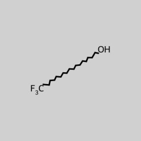 OCCCCCCCCCCCCCCCCCCC(F)(F)F